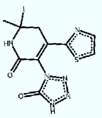 CC1(I)CC(c2nccs2)=C(n2nn[nH]c2=O)C(=O)N1